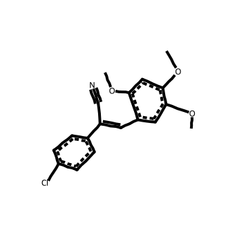 COc1cc(OC)c(OC)cc1C=C(C#N)c1ccc(Cl)cc1